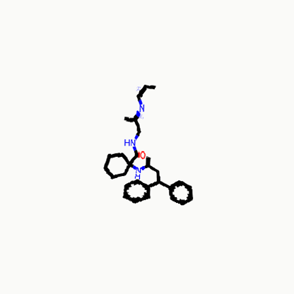 C=C(CC(c1ccccc1)c1ccccc1)NC1(C(=O)NC/C(C)=N/C=C\C)CCCCC1